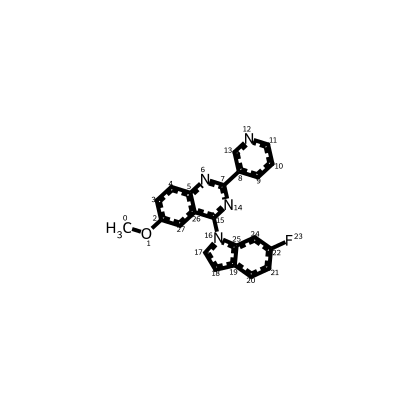 COc1ccc2nc(-c3cccnc3)nc(-n3ccc4ccc(F)cc43)c2c1